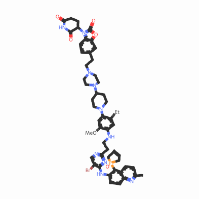 CCc1cc(NCCc2ncc(Br)c(Nc3ccc4nc(C)ccc4c3P3(=O)CC=CC3)n2)c(OC)cc1N1CCC(N2CCN(CCc3ccc4c(c3)oc(=O)n4C3CCC(=O)NC3=O)CC2)CC1